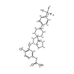 O=C(O)Cc1ccc(Cl)c(OCCC2(N3CCCC3)CCN(c3ccc(C(F)(F)F)cn3)CC2)c1